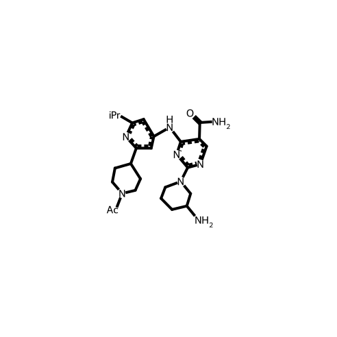 CC(=O)N1CCC(c2cc(Nc3nc(N4CCCC(N)C4)ncc3C(N)=O)cc(C(C)C)n2)CC1